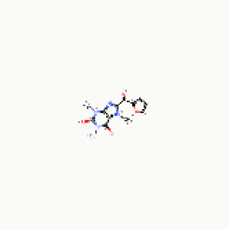 Cn1c(=O)c2c(nc(C(=O)c3ccco3)n2C)n(C)c1=O